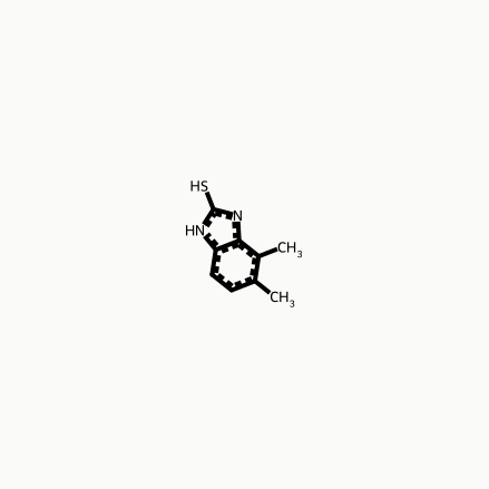 Cc1ccc2[nH]c(S)nc2c1C